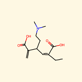 C=C(C(=O)O)C(C=C(CC)C(=O)O)CCN(C)C